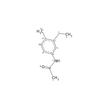 CCc1cc(NC(C)=O)ccc1C